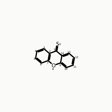 S=c1c2[c]cccc2oc2ccccc12